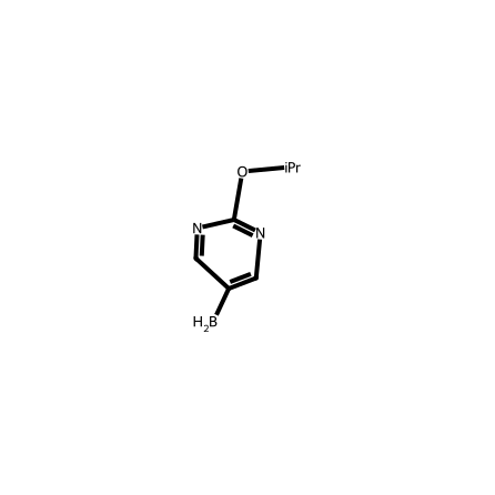 Bc1cnc(OC(C)C)nc1